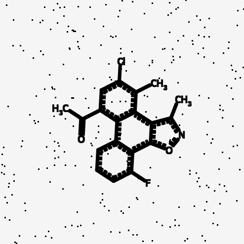 CC(=O)c1cc(Cl)c(C)c2c1c1cccc(F)c1c1onc(C)c12